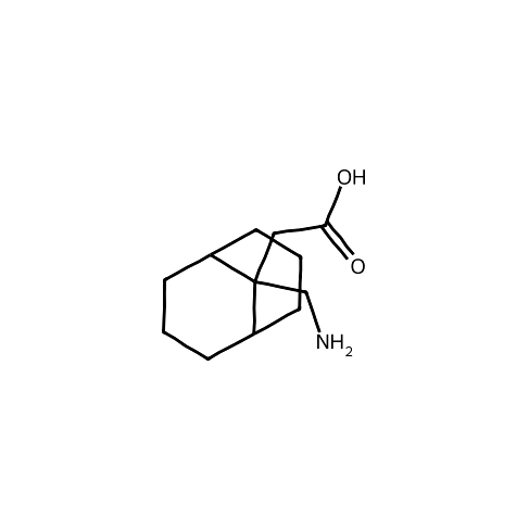 NCC1(CC(=O)O)C2CCCC1CCC2